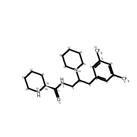 O=C(NCC(Cc1cc(C(F)(F)F)cc(C(F)(F)F)c1)N1CCCCC1)[C@@H]1CCCCN1